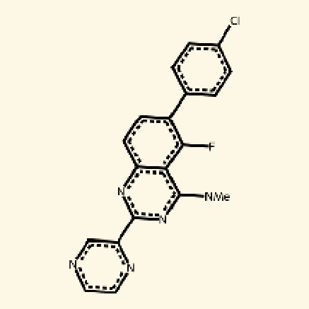 CNc1nc(-c2cnccn2)nc2ccc(-c3ccc(Cl)cc3)c(F)c12